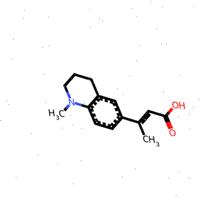 CC(=CC(=O)O)c1ccc2c(c1)CCCN2C